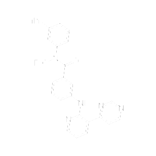 CC(C)c1cccc(N(C(=O)c2cccc(Nc3ncccc3-c3ccncn3)c2)C(F)(F)F)c1